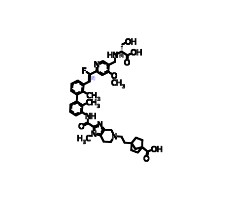 COc1cc(/C(F)=C/c2cccc(-c3cccc(NC(=O)c4nc5c(n4C)CCN(CCC46CCC(C(=O)O)(CC4)C6)C5)c3C)c2C)ncc1CN[C@H](CO)C(=O)O